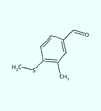 CSc1ccc(C=O)cc1C